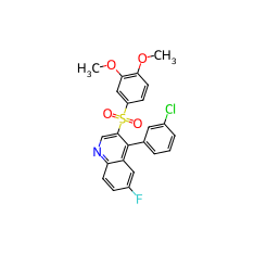 COc1ccc(S(=O)(=O)c2cnc3ccc(F)cc3c2-c2cccc(Cl)c2)cc1OC